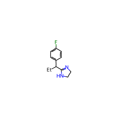 CCC(C1=NCCN1)c1ccc(F)cc1